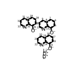 [Li+].[Li+].[Li+].[O-]c1cccc2cccnc12.[O-]c1cccc2cccnc12.[O-]c1cccc2cccnc12